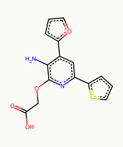 Nc1c(-c2ccco2)cc(-c2cccs2)nc1OCC(=O)O